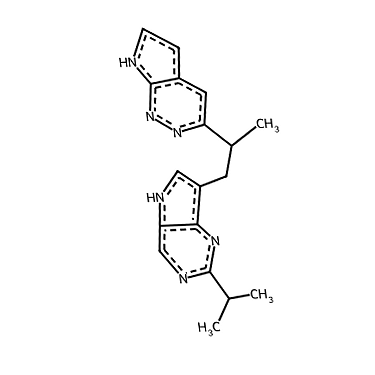 CC(C)c1ncc2[nH]cc(CC(C)c3cc4cc[nH]c4nn3)c2n1